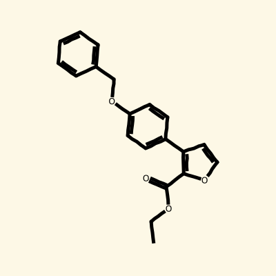 CCOC(=O)c1occc1-c1ccc(OCc2ccccc2)cc1